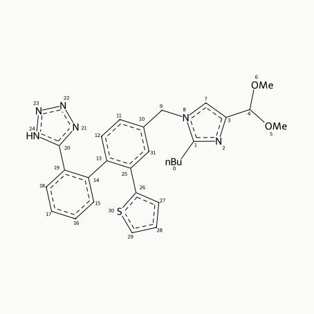 CCCCc1nc(C(OC)OC)cn1Cc1ccc(-c2ccccc2-c2nnn[nH]2)c(-c2cccs2)c1